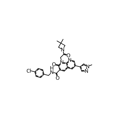 Cn1cc(-c2cnc3c(c2)cc(C(=O)NCc2ccc(Cl)cc2)c(=O)n3CC(=O)N2CC(C)(C)C2)cn1